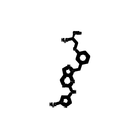 CO[C@@H](C)COc1cccc(Cn2ncc3cnc(Nc4cnn(C)c4)nc32)c1